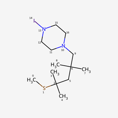 CSC(C)(C)CC(C)(C)CN1CCN(I)CC1